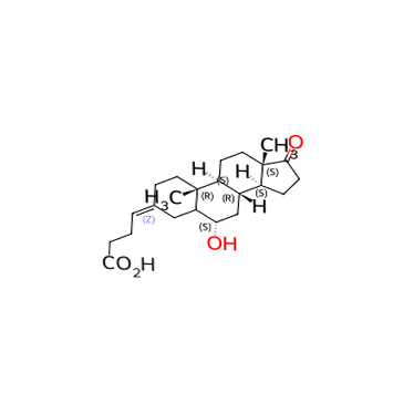 C[C@]12CC/C(=C/CCC(=O)O)CC1[C@@H](O)C[C@@H]1[C@@H]2CC[C@]2(C)C(=O)CC[C@@H]12